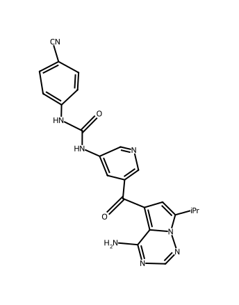 CC(C)c1cc(C(=O)c2cncc(NC(=O)Nc3ccc(C#N)cc3)c2)c2c(N)ncnn12